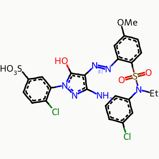 CCN(c1cccc(Cl)c1)S(=O)(=O)c1ccc(OC)cc1/N=N/c1c(N)nn(-c2cc(S(=O)(=O)O)ccc2Cl)c1O